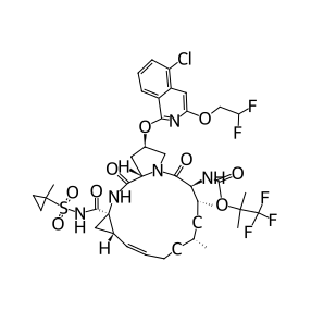 C[C@@H]1CC/C=C\[C@@H]2C[C@@]2(C(=O)NS(=O)(=O)C2(C)CC2)NC(=O)[C@@H]2C[C@@H](Oc3nc(OCC(F)F)cc4c(Cl)cccc34)CN2C(=O)[C@@H](NC(=O)OC(C)(C)C(F)(F)F)[C@H](C)C1